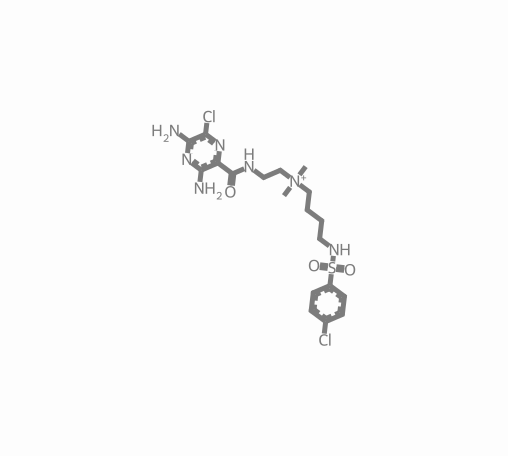 C[N+](C)(CCCCNS(=O)(=O)c1ccc(Cl)cc1)CCNC(=O)c1nc(Cl)c(N)nc1N